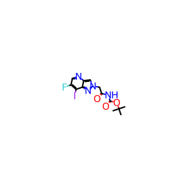 CC(C)(C)OC(=O)NC(=O)Cn1cc2ncc(F)c(I)c2n1